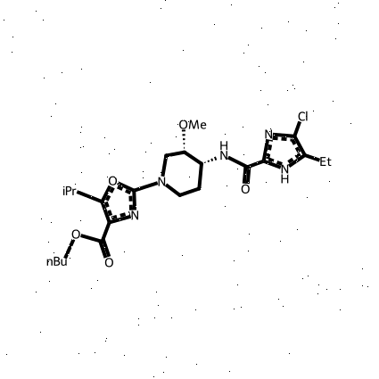 CCCCOC(=O)c1nc(N2CC[C@@H](NC(=O)c3nc(Cl)c(CC)[nH]3)[C@@H](OC)C2)oc1C(C)C